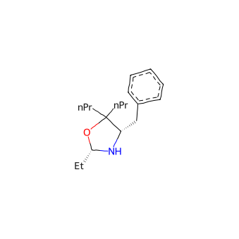 CCCC1(CCC)O[C@@H](CC)N[C@H]1Cc1ccccc1